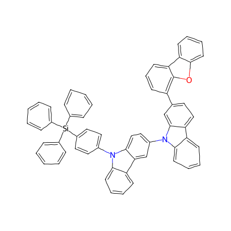 c1ccc([Si](c2ccccc2)(c2ccccc2)c2ccc(-n3c4ccccc4c4cc(-n5c6ccccc6c6ccc(-c7cccc8c7oc7ccccc78)cc65)ccc43)cc2)cc1